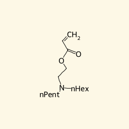 C=CC(=O)OCCN(CCCCC)CCCCCC